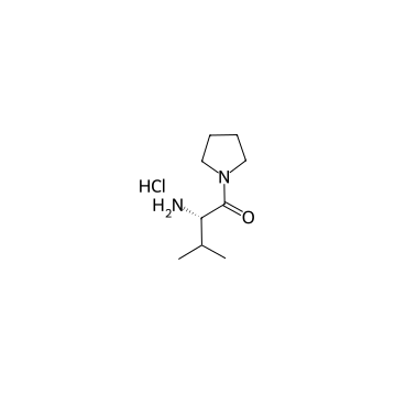 CC(C)[C@H](N)C(=O)N1CCCC1.Cl